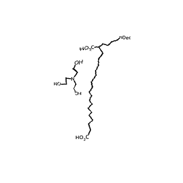 CCCCCCCCCCCCCCC(CCCCCCCCCCCCCCCCCC(=O)O)C(=O)O.OCCN(CCO)CCO